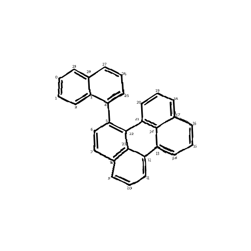 c1ccc2c(-c3ccc4cccc5c6cccc7cccc(c3c45)c76)cccc2c1